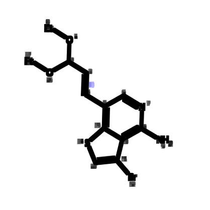 CCOC(/C=C/c1cnc(N)c2c(Br)csc12)OCC